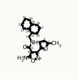 Cc1ccc(-c2noc(N)c2C(=O)NCc2cccc3ccccc23)o1